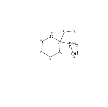 CCC1([SiH2]O)CCCCO1